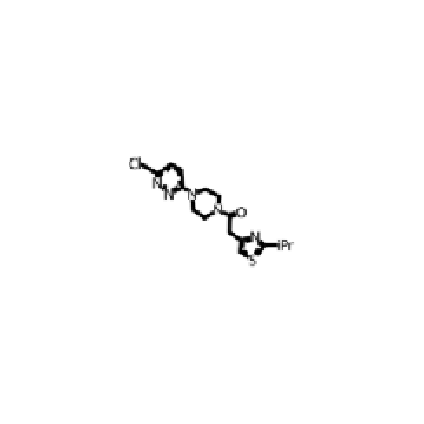 CC(C)c1nc(CC(=O)N2CCN(c3ccc(Cl)nn3)CC2)cs1